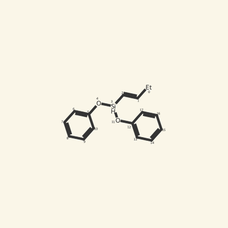 CCC=C[SiH](Oc1ccccc1)Oc1ccccc1